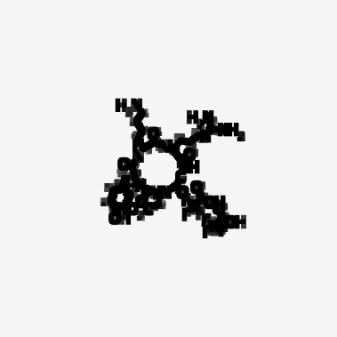 NCCCC[C@@H]1NC(=O)[C@@H](Cc2ccc(O)cc2)NC(=O)[C@H](CC(=O)O)NC(=O)CNC(=O)[C@H](CCCN=C(N)N)NC1=O.O=C(O)C(F)(F)F.O=C(O)C(F)(F)F